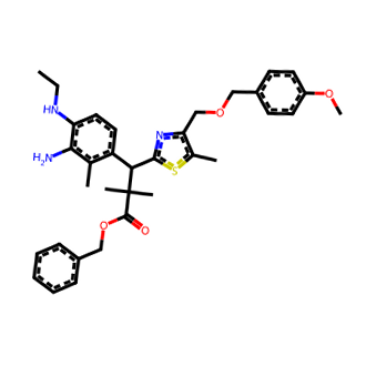 CCNc1ccc(C(c2nc(COCc3ccc(OC)cc3)c(C)s2)C(C)(C)C(=O)OCc2ccccc2)c(C)c1N